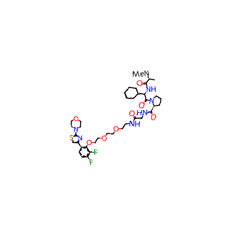 CN[C@@H](C)C(=O)NC(C(=O)N1CCC[C@H]1C(=O)NCC(=O)NCCOCCOCCOc1c(-c2csc(N3CCOCC3)n2)ccc(F)c1F)C1CCCCC1